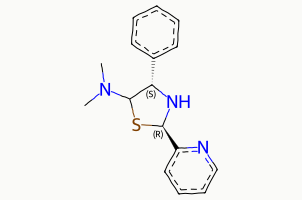 CN(C)C1S[C@H](c2ccccn2)N[C@H]1c1ccccc1